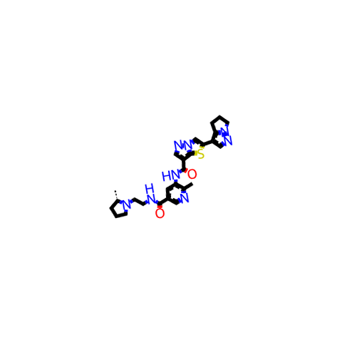 Cc1ncc(C(=O)NCCN2CCC[C@@H]2C)cc1NC(=O)c1cnn2cc(-c3cnn4c3CCC4)sc12